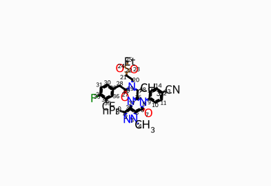 CCCc1nn(C)c2c(=O)n(-c3ccc(C#N)cc3)c([C@@H](C)N(CCS(=O)(=O)CC)C(=O)Cc3ccc(F)c(C(F)(F)F)c3)nc12